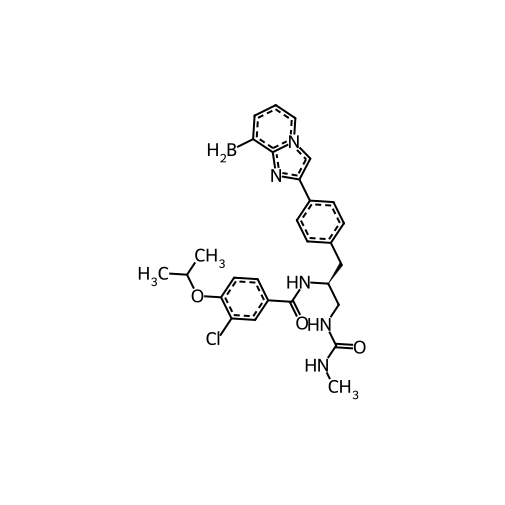 Bc1cccn2cc(-c3ccc(C[C@@H](CNC(=O)NC)NC(=O)c4ccc(OC(C)C)c(Cl)c4)cc3)nc12